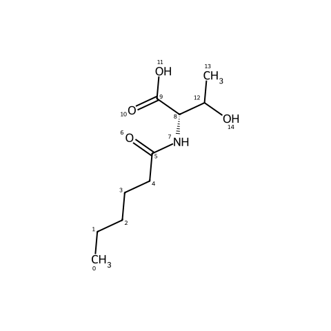 CCCCCC(=O)N[C@H](C(=O)O)C(C)O